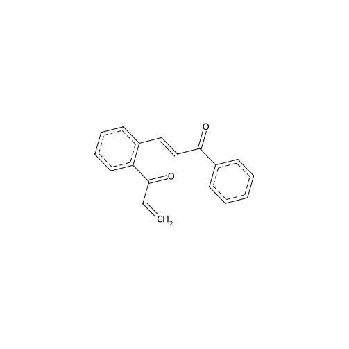 C=CC(=O)c1ccccc1/C=C/C(=O)c1ccccc1